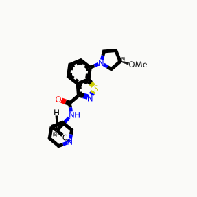 CO[C@@H]1CCN(c2cccc3c(C(=O)N[C@@H]4CN5CCC4CC5)nsc23)C1